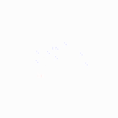 C[C@@H](O)c1cc2cnc(Nc3ccc(CN4CCN(C)CC4)cn3)nc2c(N2CCCCCC2)n1